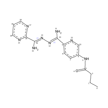 CCCC(=O)Nc1ccc(/C(N)=N/N=C(\N)c2ncccn2)nc1